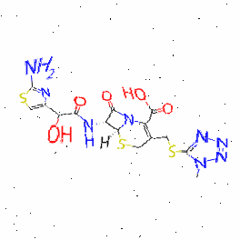 Cn1nnnc1SCC1=C(C(=O)O)N2C(=O)[C@@H](NC(=O)C(O)c3csc(N)n3)[C@@H]2SC1